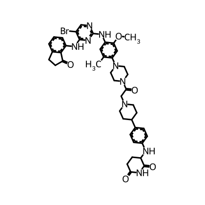 COc1cc(N2CCN(C(=O)CN3CCC(c4ccc(NC5CCC(=O)NC5=O)cc4)CC3)CC2)c(C)cc1Nc1ncc(Br)c(Nc2cccc3c2C(=O)CC3)n1